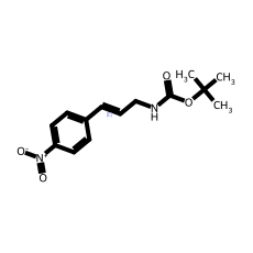 CC(C)(C)OC(=O)NC/C=C/c1ccc([N+](=O)[O-])cc1